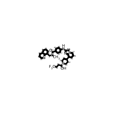 CN(Cc1cccc2cccnc12)C(=O)c1ccc(Nc2nc3c(C4=CCN(C(O)CCC(F)(F)F)CC4)cccn3n2)cc1